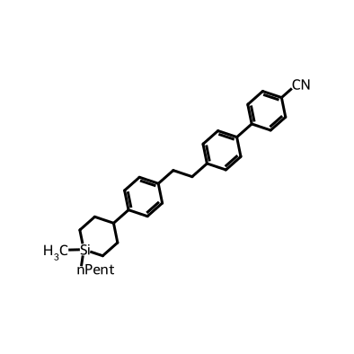 CCCCC[Si]1(C)CCC(c2ccc(CCc3ccc(-c4ccc(C#N)cc4)cc3)cc2)CC1